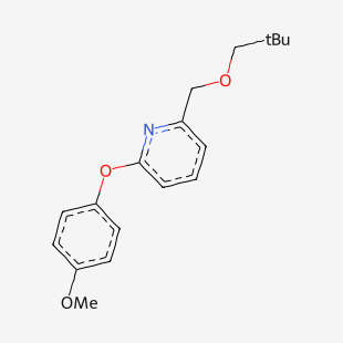 COc1ccc(Oc2cccc(COCC(C)(C)C)n2)cc1